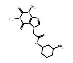 Cn1c(=O)c2c(ncn2CC(=O)NC2CCCC(N)C2)n(C)c1=O